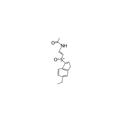 CCc1ccc2c(c1)CC=C2[S+]([O-])/C=C/NC(C)=O